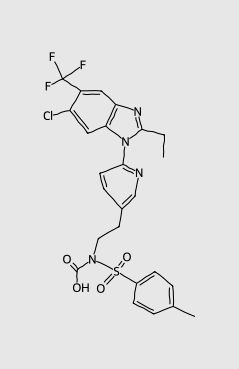 CCc1nc2cc(C(F)(F)F)c(Cl)cc2n1-c1ccc(CCN(C(=O)O)S(=O)(=O)c2ccc(C)cc2)cn1